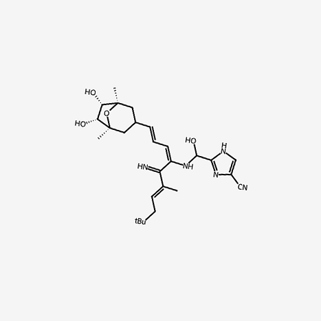 C/C(=C\CC(C)(C)C)C(=N)/C(=C\C=CC1C[C@@]2(C)O[C@@](C)(C1)[C@H](O)[C@@H]2O)NC(O)c1nc(C#N)c[nH]1